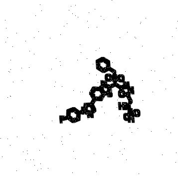 O=[SH](=O)NCc1nnc(C(c2nc3ccc(-c4cnn(-c5ccc(F)cc5)c4)cc3s2)S(=O)(=O)Cc2ccccc2)o1